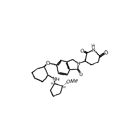 CO[C@@H]1CCC[C@H]1NC1CCCCC1Oc1ccc2c(c1)CN(C1CCC(=O)NC1=O)C2=O